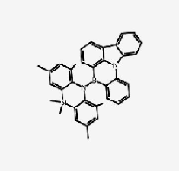 Cc1cc(C)c2c(c1)[Si](C)(C)c1cc(C)cc(C)c1N2B1c2ccccc2-n2c3ccccc3c3cccc1c32